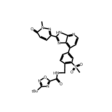 Cn1nc(-c2nc3c(-c4ccc(CNC(=O)c5nc(C(C)(C)C)no5)c(S(C)(=O)=O)c4)ccnc3[nH]2)ccc1=O